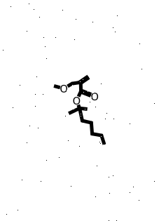 C=C(COC)C(=O)OC(C)(C)CCCCC